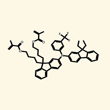 C=C(C)C(=O)OCCCCC1(CCCCOC(=O)C(=C)C)c2ccccc2-c2ccc(N(c3cccc(C(F)(F)F)c3)c3ccc4c(c3)C(CC)(CC)c3ccccc3-4)cc21